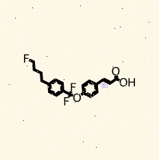 O=C(O)/C=C/c1ccc(OC(F)(F)c2ccc(CCCCF)cc2)cc1